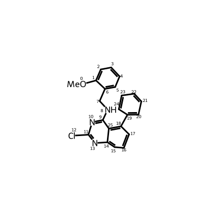 COc1ccccc1CNc1nc(Cl)nc2cccc(-c3ccccc3)c12